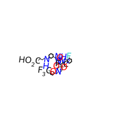 NC(Cn1c(=O)c2c(n(Cc3c(F)cccc3C(F)(F)F)c1=O)COC21CCN(Cc2ccc(C(F)(F)F)o2)CC1)c1cccc(NCCCC(=O)O)c1